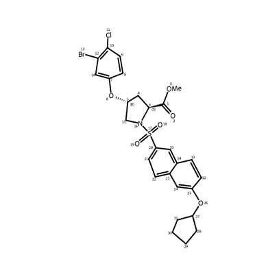 COC(=O)[C@@H]1C[C@@H](Oc2ccc(Cl)c(Br)c2)CN1S(=O)(=O)c1ccc2cc(OC3CCCC3)ccc2c1